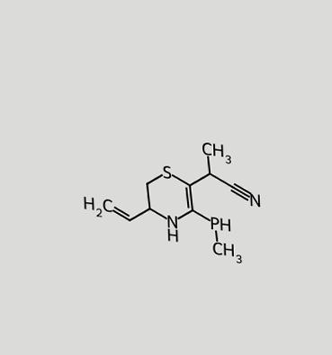 C=CC1CSC(C(C)C#N)=C(PC)N1